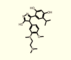 COc1ccc(C2C(S)=NN=C2c2cc(C(C)C)c(O)cc2O)cc1N(C)CCN(C)C